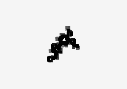 CCOc1cc(-c2nc(CCl)co2)ccc1OC